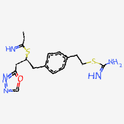 CC(=N)S[C@@H](Cc1ccc(CCSC(=N)N)cc1)Cc1nnco1